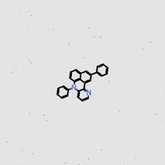 c1ccc(-c2cc3c4c(cccc4c2)N(c2ccccc2)c2cccnc2-3)cc1